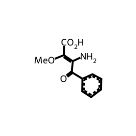 CO/C(C(=O)O)=C(/N)C(=O)c1ccccc1